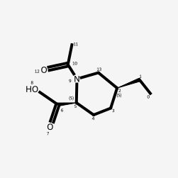 CC[C@H]1CC[C@@H](C(=O)O)N(C(C)=O)C1